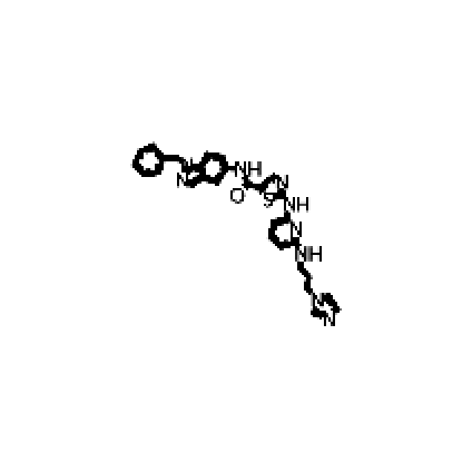 O=C(Nc1ccc2c(cnn2Cc2ccccc2)c1)c1cnc(Nc2cccc(NCCCn3ccnc3)n2)s1